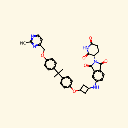 CC(C)(c1ccc(OCc2ccnc(C#N)n2)cc1)c1ccc(OC2CC(Nc3ccc4c(c3)C(=O)N([C@H]3CCC(=O)NC3=O)C4=O)C2)cc1